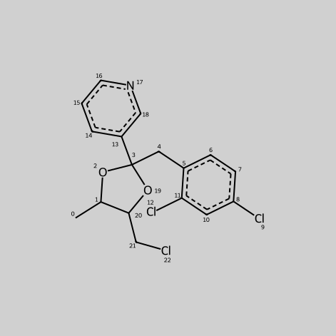 CC1OC(Cc2ccc(Cl)cc2Cl)(c2cccnc2)OC1CCl